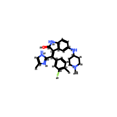 CCN1CCC(Nc2ccc3c(c2)/C(=C(\c2ccc(C)c(F)c2)c2nc(C)c[nH]2)C(=O)N3)CC1